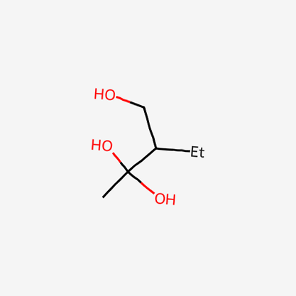 CCC(CO)C(C)(O)O